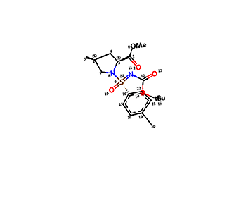 COC(=O)[C@@H]1C[C@H](C)CN1[S@](=O)(=NC(=O)OC(C)(C)C)c1ccc(C)cc1